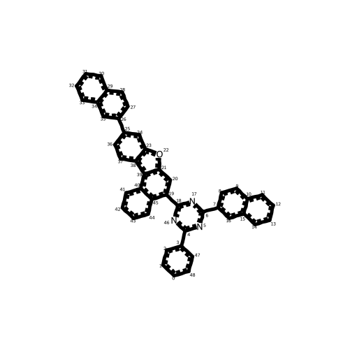 c1ccc(-c2nc(-c3ccc4ccccc4c3)nc(-c3cc4oc5cc(-c6ccc7ccccc7c6)ccc5c4c4ccccc34)n2)cc1